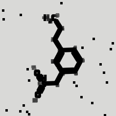 [CH2]CCc1cccc(C[SH](=O)=O)c1